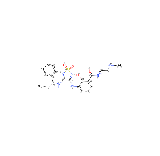 CC[C@@H](NC1=NS(=O)(=O)N=C1Nc1cccc(C(=O)/N=C/CNC)c1O)c1ccccc1